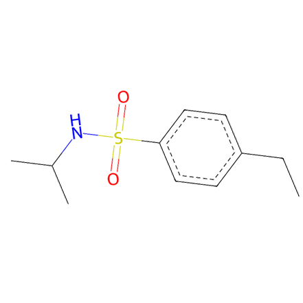 CCc1ccc(S(=O)(=O)NC(C)C)cc1